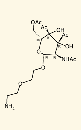 CC(=O)N[C@H]1[C@H](OCCOCCN)O[C@H](COC(C)=O)[C@@](O)(C(C)=O)[C@@]1(O)C(C)=O